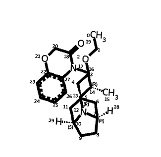 CCOCC[C@H]1C[C@H]2CC[C@@H](C1)N2C[C@@H](C)CN1C(=O)COc2ccccc21